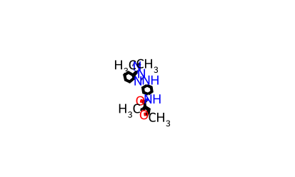 Cc1cc(C(=O)NC2CCC(Nc3nc4c(c(N(C)C)n3)CCCC4)CC2)c(C)o1